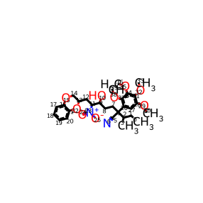 CCC(C)C(C#N)(CCC(O)C(CC1COc2ccccc2O1)[N+](=O)[O-])c1cc(OC)c(OC)c(OC)c1OC